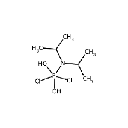 CC(C)N(C(C)C)P(O)(O)(Cl)Cl